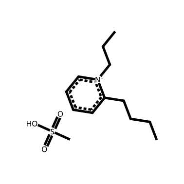 CCCCc1cccc[n+]1CCC.CS(=O)(=O)O